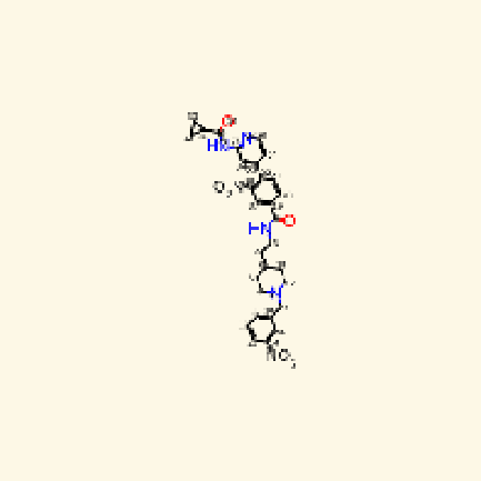 O=C(NCCC1CCN(Cc2cccc([N+](=O)[O-])c2)CC1)c1ccc(-c2ccnc(NC(=O)C3CC3)c2)c([N+](=O)[O-])c1